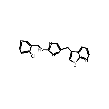 Clc1ccccc1CNc1ncc(Cc2c[nH]c3ncccc23)cn1